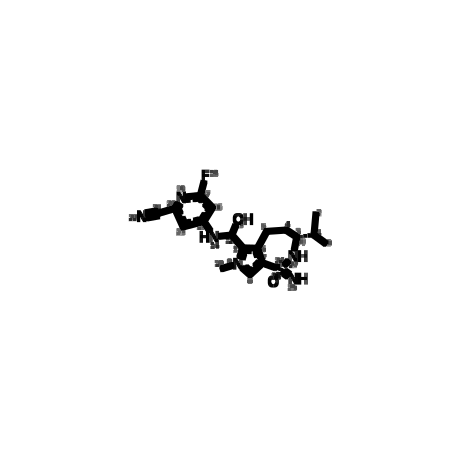 CC(C)[C@H]1CCc2c(cn(C)c2C(O)Nc2cc(F)nc(C#N)c2)S(=N)(=O)N1